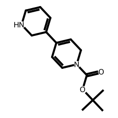 CC(C)(C)OC(=O)N1C=CC(C2=CC=CNC2)=CC1